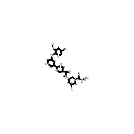 CCOc1cc(F)cnc1Oc1cncc(-c2ncc(C(=O)N[C@H]3C[C@H](F)CN(C(=O)OC(C)(C)C)C3)cn2)c1